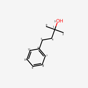 CC(C)(O)CCc1c[c]ccc1